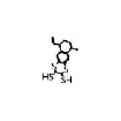 C=CC1CCC(C)c2cc3c(cc21)SC(S)C(S)S3